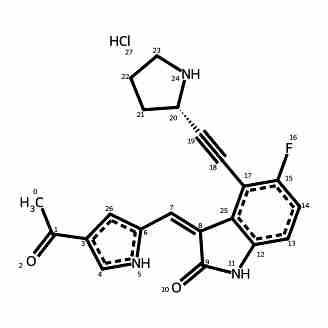 CC(=O)c1c[nH]c(C=C2C(=O)Nc3ccc(F)c(C#C[C@@H]4CCCN4)c32)c1.Cl